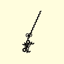 CCCCCCCCCCCCCCCCCCOC(=O)CCc1cc(C(C)(C)CC)c(OP(F)Oc2ccccc2C(C)(C)CC)c(C(C)(C)CC)c1